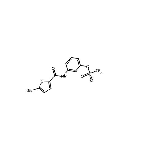 CC(C)(C)c1ccc(C(=O)Nc2[c]c(OS(=O)(=O)C(F)(F)F)ccc2)s1